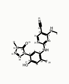 CNc1nc(Nc2cc(-n3nnn(C)c3=O)c(O)cc2F)ncc1C#N